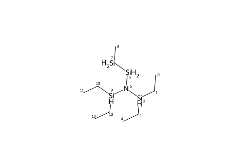 CC[SiH](CC)N([SiH2][SiH2]C)[SiH](CC)CC